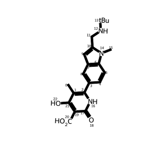 Cc1c(-c2ccc3c(c2)cc(CNC(C)(C)C)n3C)[nH]c(=O)c(C(=O)O)c1O